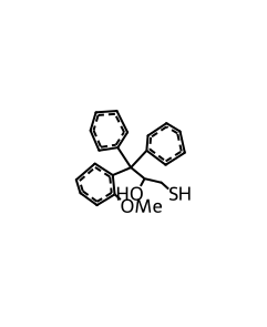 COc1ccccc1C(c1ccccc1)(c1ccccc1)C(O)CS